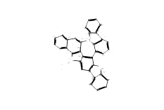 Cn1c2cc3c4ccccc4oc3c3c4cccc5c6ccccc6n(c6cc7ccccc7c1c6c32)c54